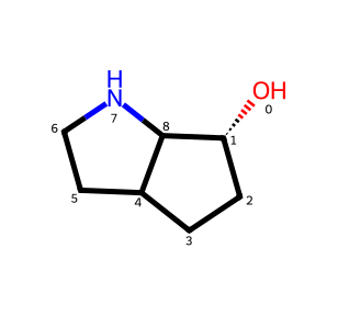 O[C@@H]1CCC2CCNC21